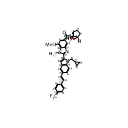 COc1cc(C(=O)N2C[C@H]3CCC2[C@H]3N)cc2nc(-c3cc4cc(/C=C/c5ccc(C(F)(F)F)cc5)ccc4n3CC3CC3)n(C)c12